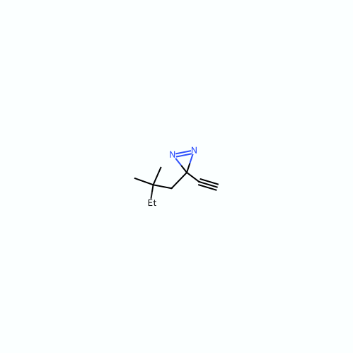 C#CC1(CC(C)(C)CC)N=N1